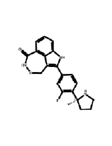 C[C@@]1(c2ccc(-c3[nH]c4cccc5c4c3CONC5=O)cc2F)CCCN1